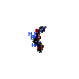 CN1CCN(C(=O)CC(N)C(=O)Nc2ccc3[nH]c(C(=O)OC(C)(C)C)nc3c2)CC1